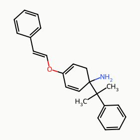 CC(C)(c1ccccc1)C1(N)C=CC(OC=Cc2ccccc2)=CC1